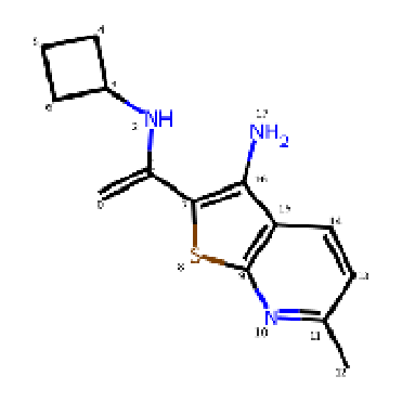 C=C(NC1CCC1)c1sc2nc(C)ccc2c1N